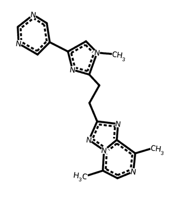 Cc1ncc(C)n2nc(CCc3nc(-c4cncnc4)cn3C)nc12